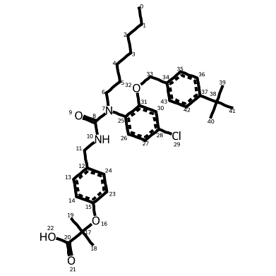 CCCCCCCN(C(=O)NCc1ccc(OC(C)(C)C(=O)O)cc1)c1ccc(Cl)cc1OCc1ccc(C(C)(C)C)cc1